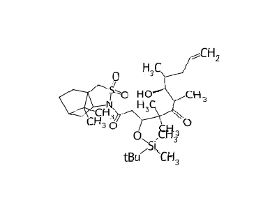 C=CCC(C)[C@H](O)C(C)C(=O)C(C)(C)C(CC(=O)N1C2CC3CCC2(CS1(=O)=O)C3(C)C)O[Si](C)(C)C(C)(C)C